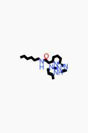 CCCCCCNC(=O)CC1CCCCN1C1(n2ccnc2)N=CC=C(C)N1